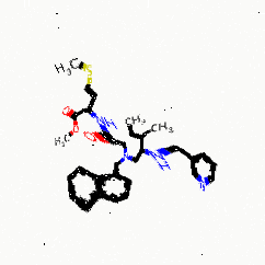 CCC(C)C(CN(CC(=O)NC(CCSC)C(=O)OC)Cc1cccc2ccccc12)NCc1cccnc1